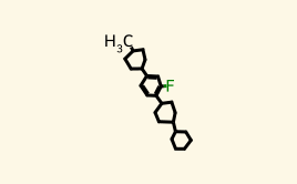 CC1CCC(c2ccc(C3CCC(C4CCCCC4)CC3)c(F)c2)CC1